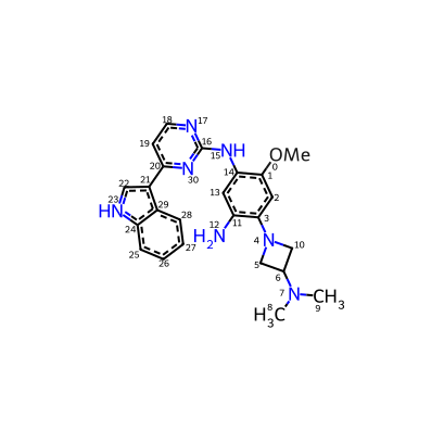 COc1cc(N2CC(N(C)C)C2)c(N)cc1Nc1nccc(-c2c[nH]c3ccccc23)n1